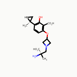 C[C@]1(c2ccc(OC3CN(C[C@@](C)(N)C(=O)O)C3)c(C(=O)O)c2O)BC1